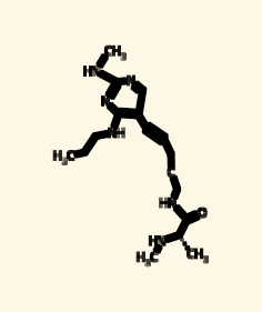 CCCNc1nc(NC)ncc1C#CCCCNC(=O)[C@H](C)NC